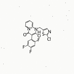 O=c1c(-c2cc(F)c(F)cc2F)c(O)n(Cc2cnc(Cl)s2)c2cccc[n+]12